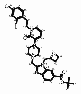 CC(C)(C)OC(=O)c1ccc2nc(CN3CCN(c4cccn(CCc5ccc(Cl)cc5F)c4=O)CC3)n(CC3CCO3)c2c1